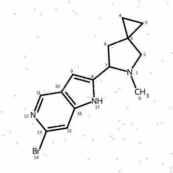 CN1CC2(CC2)CC1c1cc2cnc(Br)cc2[nH]1